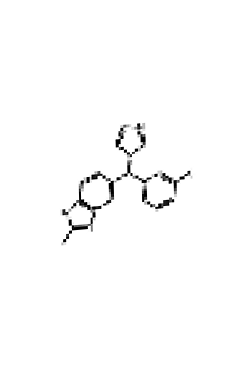 Cc1nc2cc(C(c3cccc(Cl)c3)n3ccnc3)ccc2[nH]1